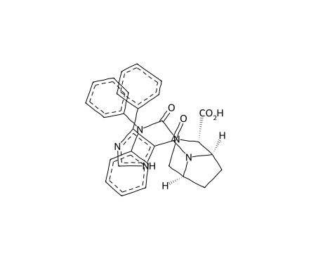 O=C(O)[C@@H]1[C@H]2CC[C@@H](CN1C(=O)N(c1ccccc1)c1ccccc1)N2C(=O)c1[nH]cnc1-c1ccccc1